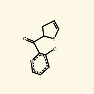 O=C(c1ncccc1Cl)C1CC=CS1